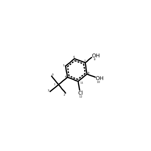 CC(C)(C)c1ccc(O)c(O)c1Cl